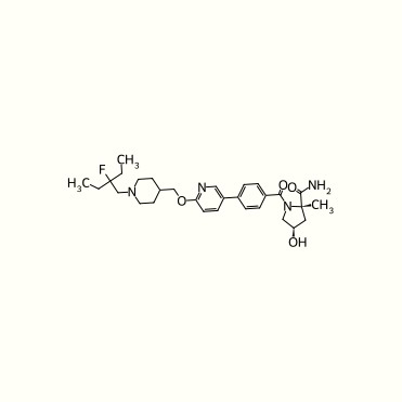 CCC(F)(CC)CN1CCC(COc2ccc(-c3ccc(C(=O)N4C[C@H](O)C[C@@]4(C)C(N)=O)cc3)cn2)CC1